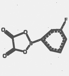 O=C1OB(c2cccc(F)c2)OC1=O